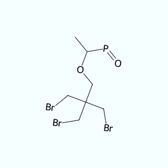 CC(OCC(CBr)(CBr)CBr)P=O